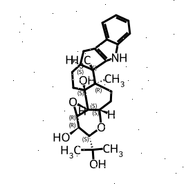 CC(C)(O)[C@H]1O[C@H]2CC[C@@]3(C)[C@@](O)(CC[C@H]4Cc5c([nH]c6ccccc56)[C@@]43C)[C@]23O[C@@H]3[C@@H]1O